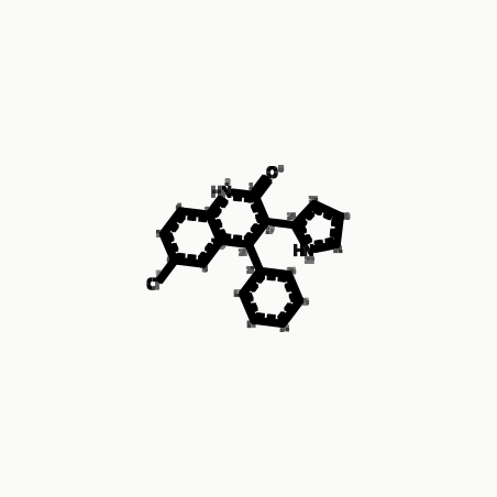 O=c1[nH]c2ccc(Cl)cc2c(-c2ccccc2)c1-c1ccc[nH]1